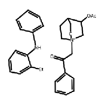 CC(=O)OC1C[N+]2(CC(=O)c3ccccc3)CCC1CC2.CCc1ccccc1Nc1ccccc1